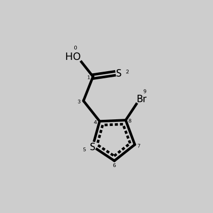 OC(=S)Cc1sccc1Br